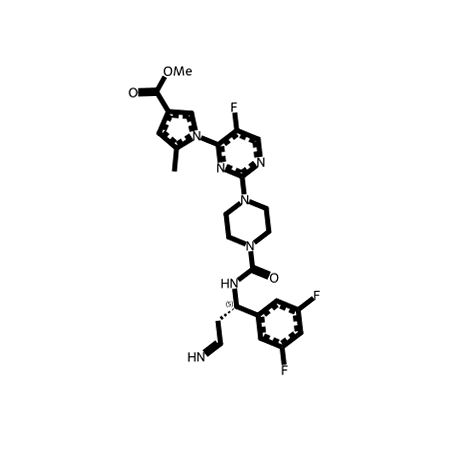 COC(=O)c1cc(C)n(-c2nc(N3CCN(C(=O)N[C@@H](CC=N)c4cc(F)cc(F)c4)CC3)ncc2F)c1